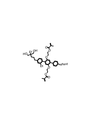 C=C(C)C(=O)OCCOc1cc(-c2ccc(CCCC(CC)(CO)CO)cc2CC)c(OCCOC(=O)C(=C)C)cc1-c1ccc(CCCCC)cc1